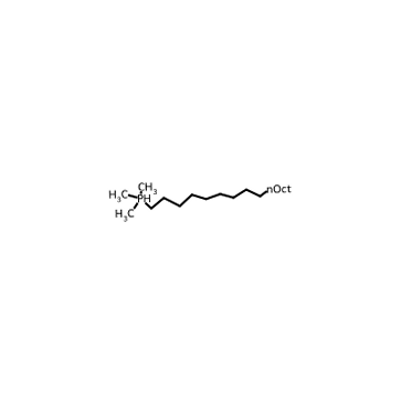 CCCCCCCCCCCCCCCCC[PH](C)(C)C